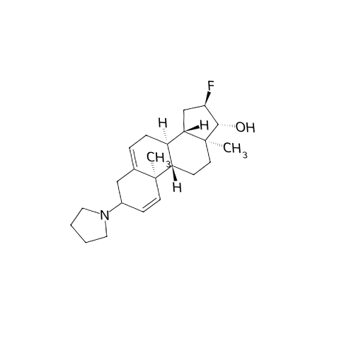 C[C@]12CC[C@H]3[C@@H](CC=C4CC(N5CCCC5)C=C[C@@]43C)[C@@H]1C[C@@H](F)[C@@H]2O